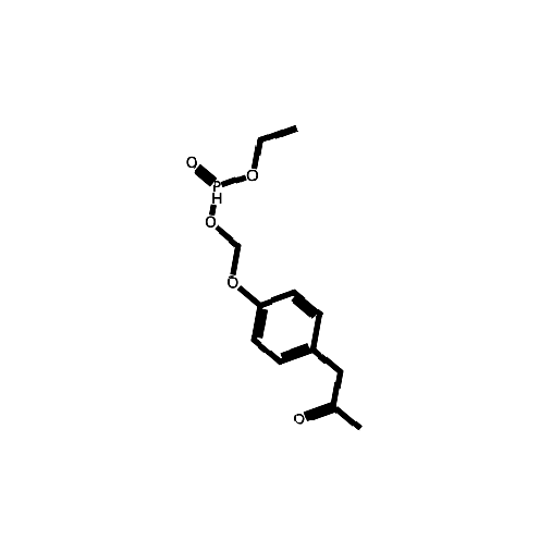 CCO[PH](=O)OCOc1ccc(CC(C)=O)cc1